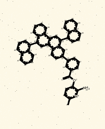 C=C(Oc1ccc(C)nc1N)c1cccc(-c2ccc3c(c2)c(-c2cccc4ccccc24)cc2c4ccccc4c(-c4cccc5ccccc45)cc32)c1